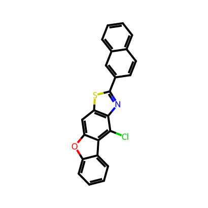 Clc1c2nc(-c3ccc4ccccc4c3)sc2cc2oc3ccccc3c12